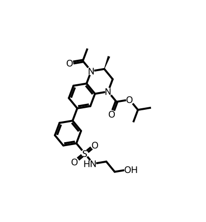 CC(=O)N1c2ccc(-c3cccc(S(=O)(=O)NCCO)c3)cc2N(C(=O)OC(C)C)C[C@@H]1C